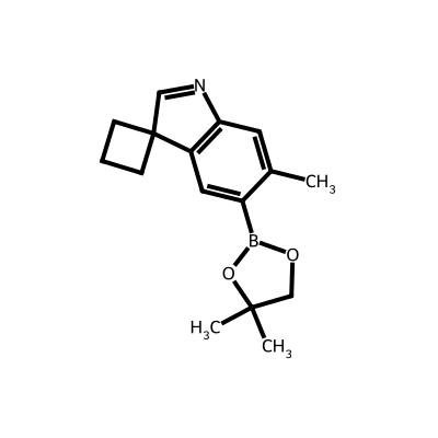 Cc1cc2c(cc1B1OCC(C)(C)O1)C1(C=N2)CCC1